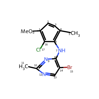 COc1ccc(C)c(Nc2nc(C)ncc2Br)c1Cl